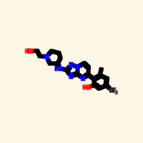 Cc1cc(C(F)(F)F)cc(O)c1-c1ccn2nc(NC3CCCN(CCO)C3)nc2n1